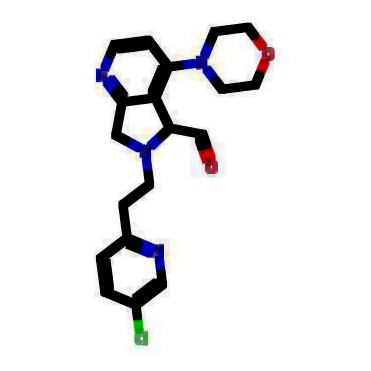 O=CC1c2c(N3CCOCC3)ccnc2CN1CCc1ccc(Cl)cn1